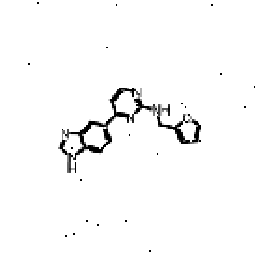 c1coc(CNc2nccc(-c3ccc4[nH]cnc4c3)n2)c1